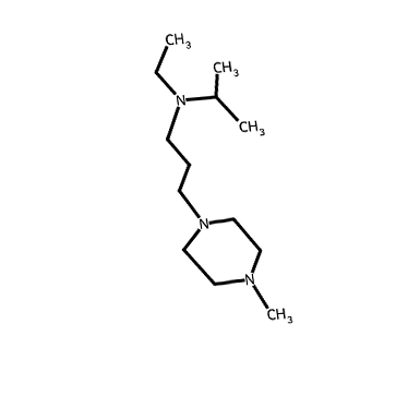 CCN(CCCN1CCN(C)CC1)C(C)C